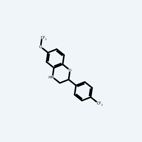 FC(F)(F)Oc1ccc2c(c1)NCC(c1ccc(C(F)(F)F)cc1)O2